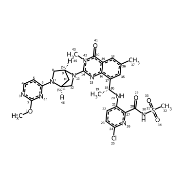 COc1nccc(N2C[C@@H]3C[C@H]2CN3c2nc3c([C@@H](C)Nc4ccc(Cl)nc4C(=O)NS(C)(=O)=O)cc(C)cc3c(=O)n2C)n1